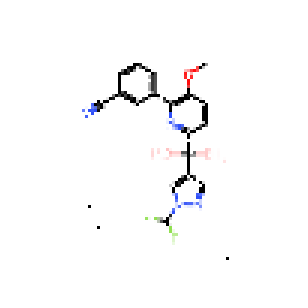 BC(B)(c1cnn(C(F)F)c1)c1ccc(OC)c(-c2cccc(C#N)c2)n1